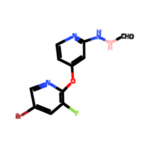 O=CBNc1cc(Oc2ncc(Br)cc2F)ccn1